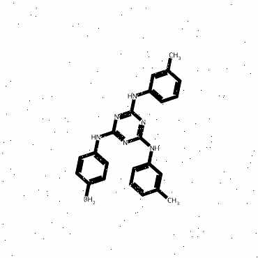 Bc1ccc(Nc2nc(Nc3cccc(C)c3)nc(Nc3cccc(C)c3)n2)cc1